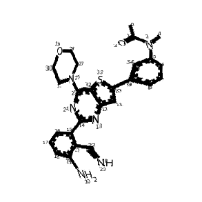 CC(=O)N(C)c1cccc(-c2cc3nc(-c4cccc(N)c4C=N)nc(N4CCOCC4)c3s2)c1